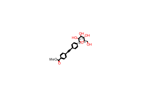 COC(=O)c1ccc(C#Cc2ccc([C@H]3O[C@H](CO)[C@@H](O)[C@H](O)[C@@H]3O)cc2)cc1